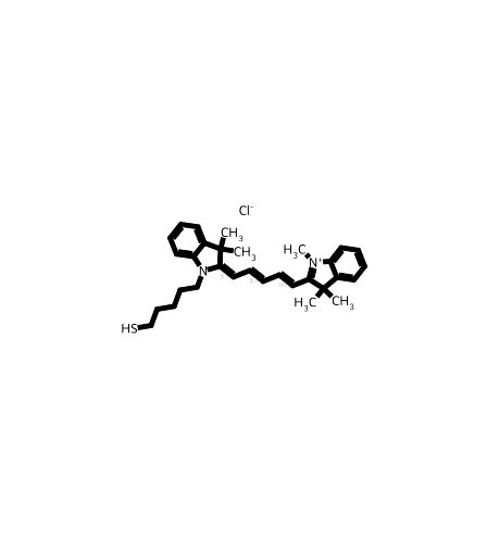 C[N+]1=C(/C=C/C=C/C=C2/N(CCCCCS)c3ccccc3C2(C)C)C(C)(C)c2ccccc21.[Cl-]